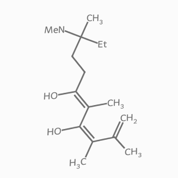 C=C(C)/C(C)=C(O)\C(C)=C(/O)CCC(C)(CC)NC